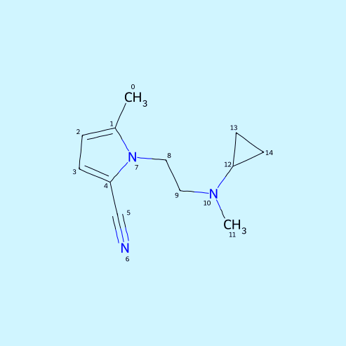 Cc1ccc(C#N)n1CCN(C)C1CC1